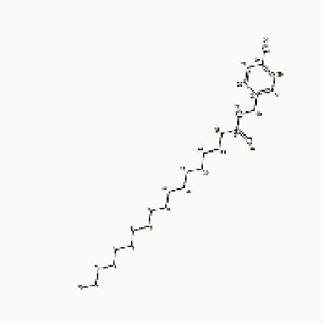 CCCCCCCCCCCCCCCCCC(=O)OCc1ccc(Cl)cc1